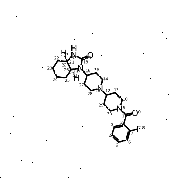 O=C(c1ccccc1F)N1CCC(N2CCC(N3C(=O)N[C@H]4CCCC[C@@H]43)CC2)CC1